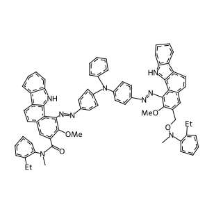 CCc1ccccc1N(C)OCc1cc2ccc3c4ccccc4[nH]c3c2c(N=Nc2ccc(N(c3ccccc3)c3ccc(N=Nc4c(OC)c(C(=O)N(C)c5ccccc5CC)cc5ccc6c7ccccc7[nH]c6c45)cc3)cc2)c1OC